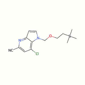 C[Si](C)(C)CCOCn1ccc2nc(C#N)cc(Cl)c21